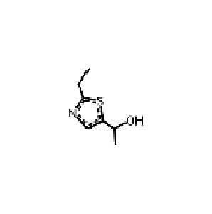 CCc1ncc(C(C)O)s1